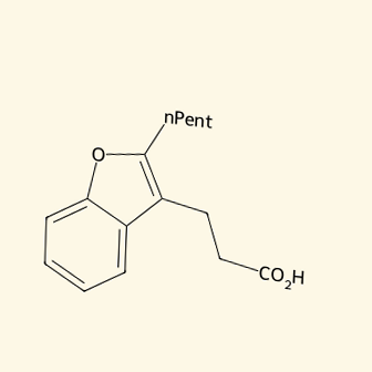 CCCCCc1oc2ccccc2c1CCC(=O)O